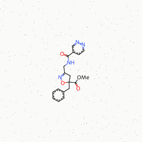 COC(=O)C1(Cc2ccccc2)CC(CNC(=O)c2ccnnc2)=NO1